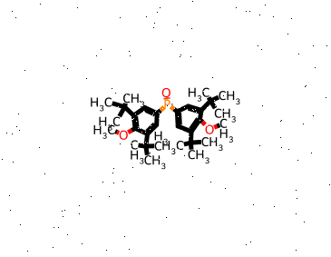 COc1c(C(C)(C)C)cc([P](=O)c2cc(C(C)(C)C)c(OC)c(C(C)(C)C)c2)cc1C(C)(C)C